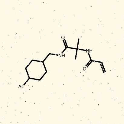 C=CC(=O)NC(C)(C)C(=O)NCC1CCC(C(C)=O)CC1